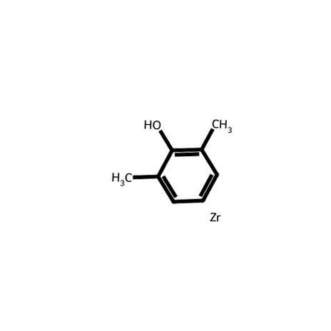 Cc1cccc(C)c1O.[Zr]